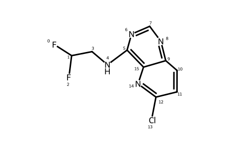 FC(F)CNc1ncnc2ccc(Cl)nc12